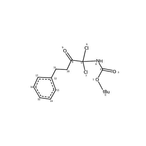 CC(C)(C)OC(=O)NC(Cl)(Cl)C(=O)CCc1ccccc1